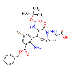 CC(c1cc(Br)cc(C(=O)OCc2ccccc2)c1N)C(NC(=O)OC(C)(C)C)C(=O)N1CCCC(C(=O)O)N1